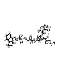 C[C@H](NC(=O)OC(C)(C)C)c1nc(SCC(=O)NCCNC(=O)OCC2c3ccccc3-c3ccccc32)cn1[C@@H](C)C(=O)O